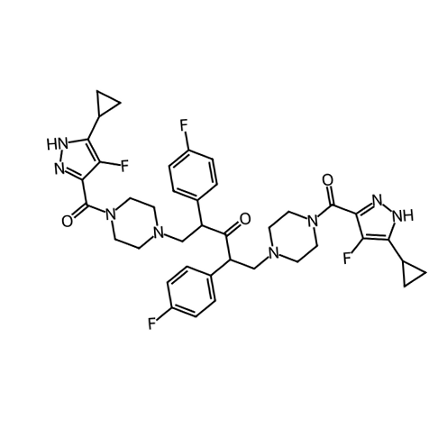 O=C(C(CN1CCN(C(=O)c2n[nH]c(C3CC3)c2F)CC1)c1ccc(F)cc1)C(CN1CCN(C(=O)c2n[nH]c(C3CC3)c2F)CC1)c1ccc(F)cc1